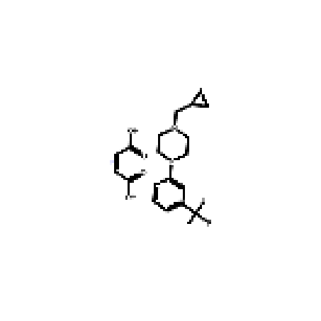 FC(F)(F)c1cccc(N2CCN(CC3CC3)CC2)c1.O=C(O)/C=C\C(=O)O